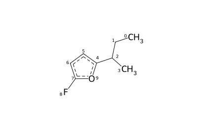 CCC(C)c1ccc(F)o1